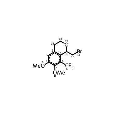 COc1cc2c(c(C(F)(F)F)c1OC)C(CBr)OCC2